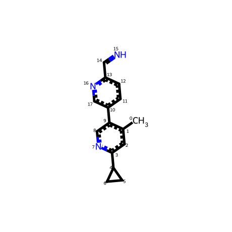 Cc1cc(C2CC2)ncc1-c1ccc(C=N)nc1